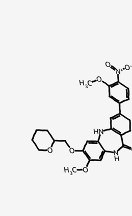 COc1cc2c(cc1OCC1CCCCO1)NC1=C(CCC(c3ccc([N+](=O)[O-])c(OC)c3)=C1)C(=O)N2